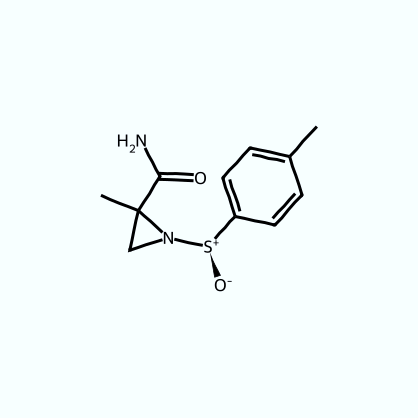 Cc1ccc([S@@+]([O-])N2CC2(C)C(N)=O)cc1